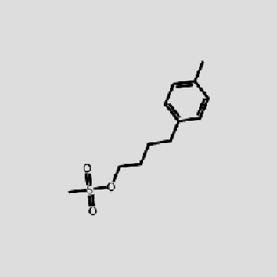 Cc1ccc(CCCCOS(C)(=O)=O)cc1